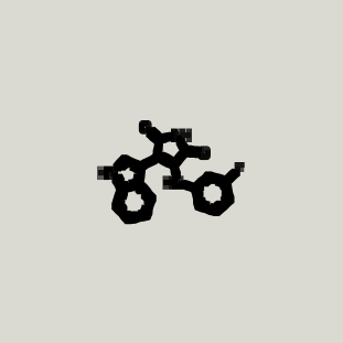 O=C1NC(=O)C(c2c[nH]c3ccccc23)=C1Nc1cccc(F)c1